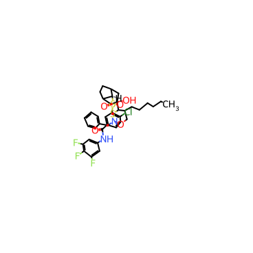 CCCCCCC1CON(Cc2ccccc2)SC1[C@]1(O)CC2CCC(C1)[C@H]2S(=O)(=O)c1cc(C(=O)Nc2cc(F)c(F)c(F)c2)ccc1Cl